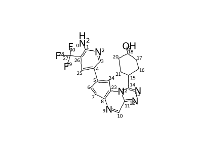 Nc1ncc(-c2ccc3ncc4nnc(C5CCC(O)CC5)n4c3c2)cc1C(F)(F)F